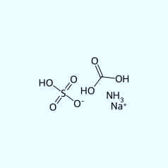 N.O=C(O)O.O=S(=O)([O-])O.[Na+]